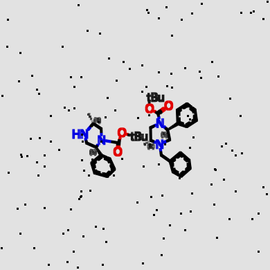 C[C@@H]1CN(C(=O)OC(C)(C)C)[C@@H](c2ccccc2)CN1.C[C@@H]1CN(C(=O)OC(C)(C)C)[C@@H](c2ccccc2)CN1Cc1ccccc1